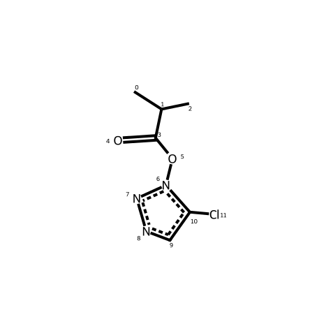 CC(C)C(=O)On1nncc1Cl